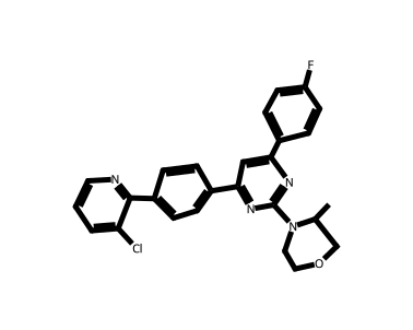 CC1COCCN1c1nc(-c2ccc(F)cc2)cc(-c2ccc(-c3ncccc3Cl)cc2)n1